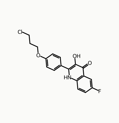 O=c1c(O)c(-c2ccc(OCCCCl)cc2)[nH]c2ccc(F)cc12